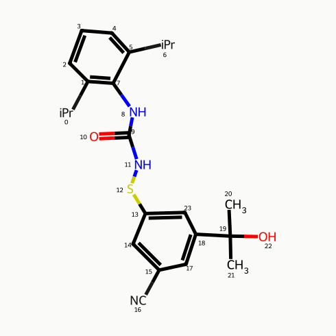 CC(C)c1cccc(C(C)C)c1NC(=O)NSc1cc(C#N)cc(C(C)(C)O)c1